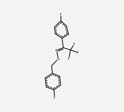 Fc1ccc(CON=C(c2ccc(F)cc2)C(F)(F)F)cc1